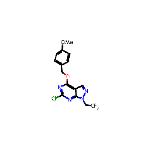 COc1ccc(COc2nc(Cl)nc3c2cnn3CC(F)(F)F)cc1